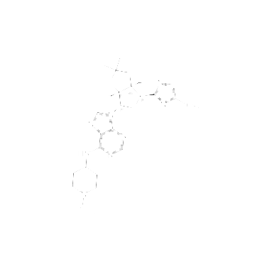 CCOC(=O)N1CCC(Nc2ncnc3c2ncn3[C@@H]2O[C@H](c3noc(C(C)(C)C)n3)[C@H]3OC(C)(C)O[C@H]32)CC1